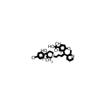 CC(C)(O)c1ccc2c(c1)C(=CCCN1CC[C@](O)(c3ccc(Cl)cc3)C(C)(C)C1)c1cccnc1CO2